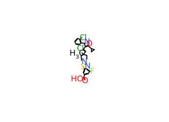 CC1(/C=C/c2c(-c3c(Cl)cccc3Cl)noc2C2CC2)CCN(c2nc3c(F)cc(C(=O)O)cc3s2)CC1